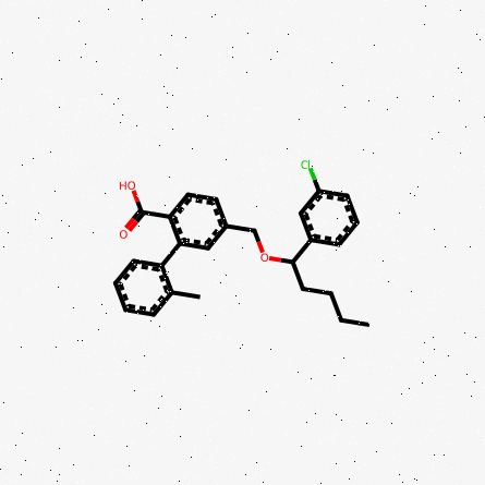 CCCCC(OCc1ccc(C(=O)O)c(-c2ccccc2C)c1)c1cccc(Cl)c1